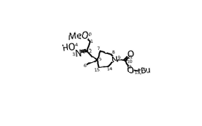 COC/C(=N\O)C1(C)CCN(C(=O)OC(C)(C)C)CC1